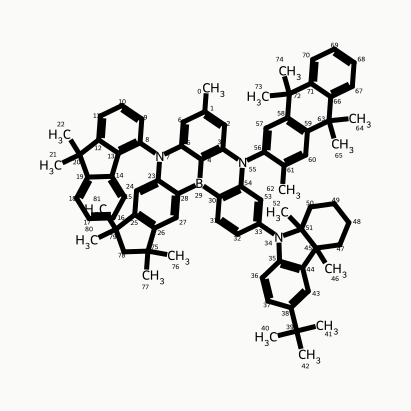 Cc1cc2c3c(c1)N(c1cccc4c1-c1ccccc1C4(C)C)c1cc4c(cc1B3c1ccc(N3c5ccc(C(C)(C)C)cc5C5(C)CCCCC35C)cc1N2c1cc2c(cc1C)C(C)(C)c1ccccc1C2(C)C)C(C)(C)CC4(C)C